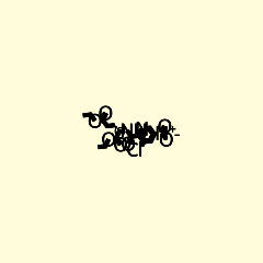 CCOC(=O)CC[C@H](NC(=O)c1ncc([N+](=O)[O-])cc1Cl)C(=O)OCC